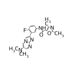 Cc1nc(C)c(C(=O)Nc2ccc(F)c(-c3cn4cc(N(C)C)cnc4n3)c2)o1